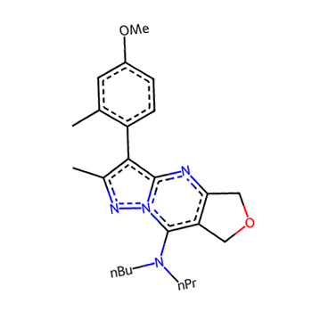 CCCCN(CCC)c1c2c(nc3c(-c4ccc(OC)cc4C)c(C)nn13)COC2